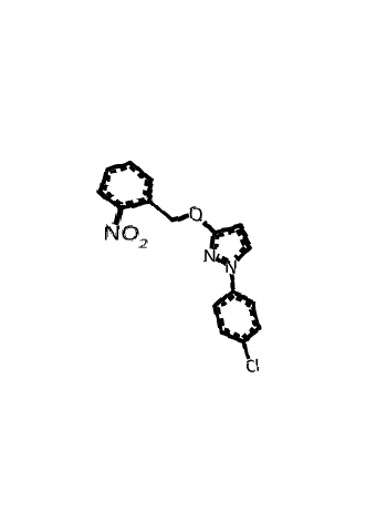 O=[N+]([O-])c1ccccc1COc1ccn(-c2ccc(Cl)cc2)n1